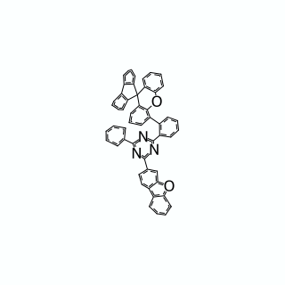 c1ccc(-c2nc(-c3ccc4c(c3)oc3ccccc34)nc(-c3ccccc3-c3cccc4c3Oc3ccccc3C43c4ccccc4-c4ccccc43)n2)cc1